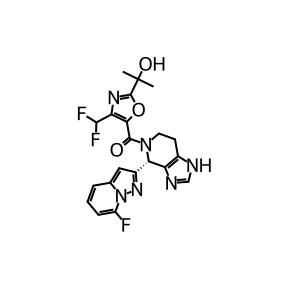 CC(C)(O)c1nc(C(F)F)c(C(=O)N2CCc3[nH]cnc3[C@@H]2c2cc3cccc(F)n3n2)o1